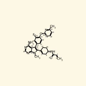 C=CC(=O)NC1CC=C(c2c(-c3ccc(Oc4nccc(C)n4)c(F)c3)c3c(N)ncnc3n2C)CC1